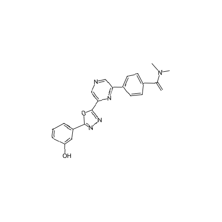 C=C(c1ccc(-c2cncc(-c3nnc(-c4cccc(O)c4)o3)n2)cc1)N(C)C